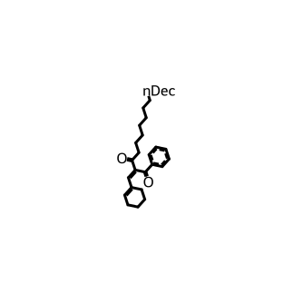 CCCCCCCCCCCCCCCCCC(=O)C(=CC1=CCCCC1)C(=O)c1ccccc1